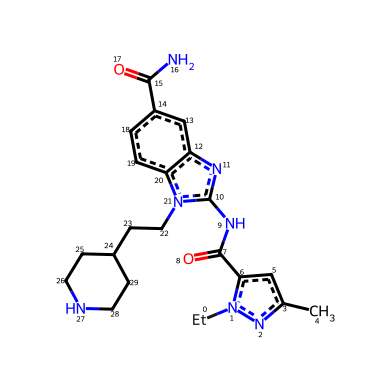 CCn1nc(C)cc1C(=O)Nc1nc2cc(C(N)=O)ccc2n1CCC1CCNCC1